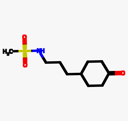 CS(=O)(=O)NCCCC1CCC(=O)CC1